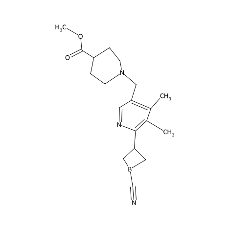 COC(=O)C1CCN(Cc2cnc(C3CB(C#N)C3)c(C)c2C)CC1